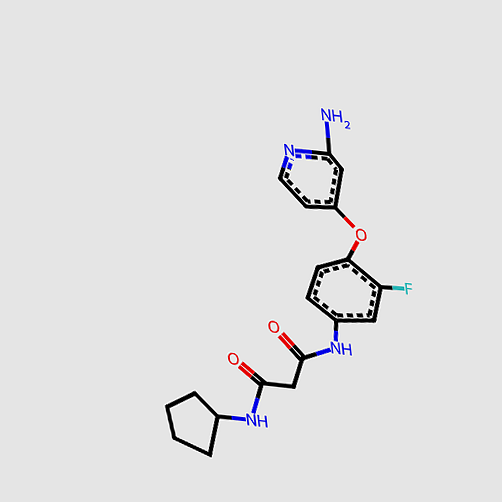 Nc1cc(Oc2ccc(NC(=O)CC(=O)NC3CCCC3)cc2F)ccn1